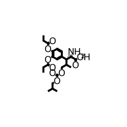 CCC(=O)Oc1ccc(C(C(C)COC(=O)OCC(C)C)[C@H](N)C(=O)O)cc1OC(=O)CC